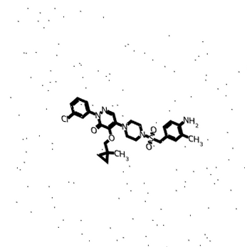 Cc1cc(CS(=O)(=O)N2CCN(c3cnn(-c4cccc(Cl)c4)c(=O)c3OCC3(C)CC3)CC2)ccc1N